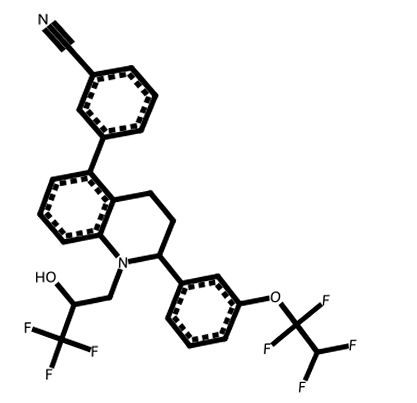 N#Cc1cccc(-c2cccc3c2CCC(c2cccc(OC(F)(F)C(F)F)c2)N3CC(O)C(F)(F)F)c1